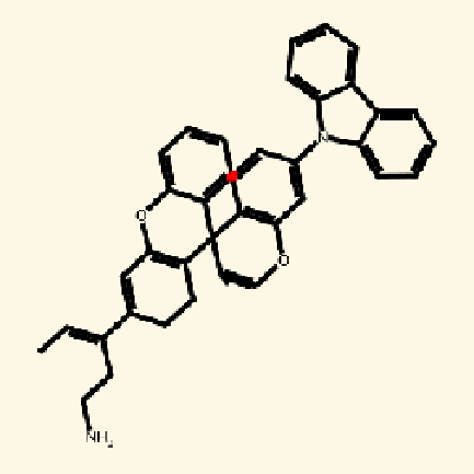 C/C=C(\CCN)C1=CC2=C(CC1)C1(C3=CC=CCC3Oc3cc(-n4c5ccccc5c5ccccc54)ccc31)c1ccccc1O2